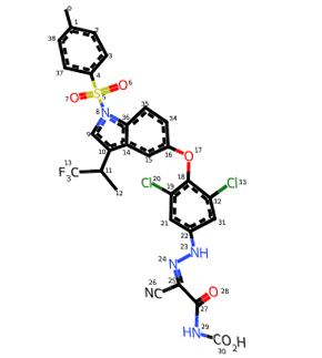 Cc1ccc(S(=O)(=O)n2cc(C(C)C(F)(F)F)c3cc(Oc4c(Cl)cc(NN=C(C#N)C(=O)NC(=O)O)cc4Cl)ccc32)cc1